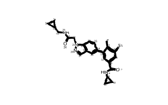 Cc1c(F)cc(C(=O)NC2CC2)cc1-c1ccc2c(cnn2CC(=O)NCC2CC2)c1